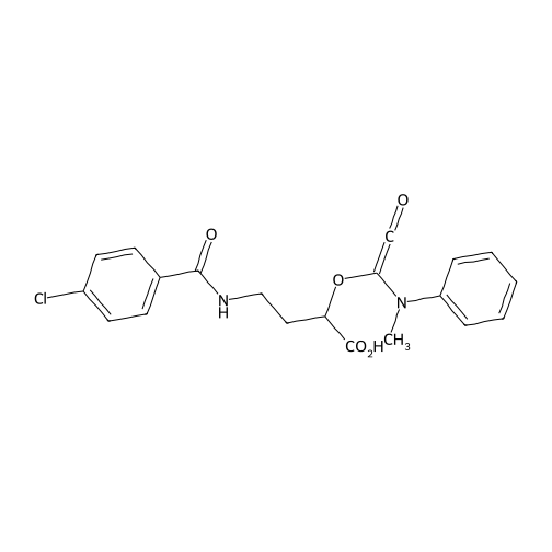 CN(C(=C=O)OC(CCNC(=O)c1ccc(Cl)cc1)C(=O)O)c1ccccc1